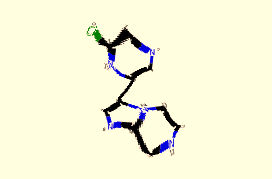 Clc1cncc(-c2cnc3cnccn23)n1